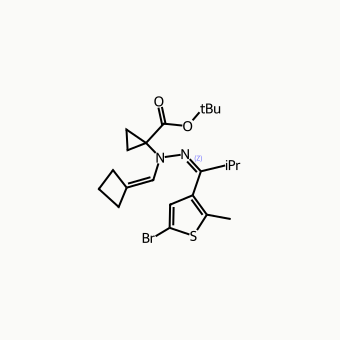 Cc1sc(Br)cc1/C(=N\N(C=C1CCC1)C1(C(=O)OC(C)(C)C)CC1)C(C)C